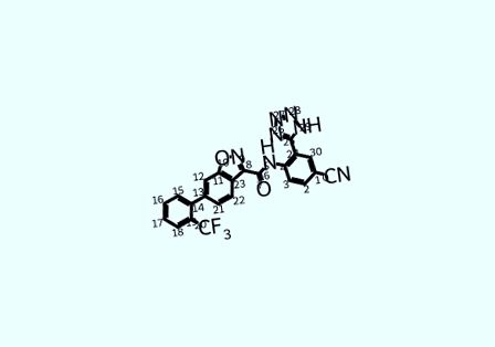 N#Cc1ccc(NC(=O)c2noc3cc(-c4ccccc4C(F)(F)F)ccc23)c(-c2nnn[nH]2)c1